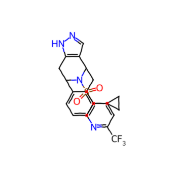 O=S(=O)(c1ccc(C(F)(F)F)nc1)N1C2Cc3c(C4CC4)cccc3C1Cc1[nH]ncc12